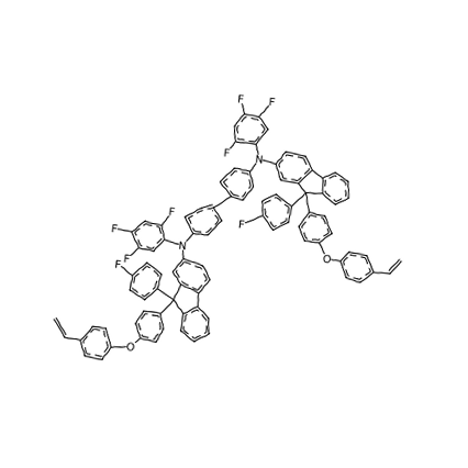 C=Cc1ccc(Oc2ccc(C3(c4ccc(F)cc4)c4ccccc4-c4ccc(N(c5ccc(-c6ccc(N(c7ccc8c(c7)C(c7ccc(F)cc7)(c7ccc(Oc9ccc(C=C)cc9)cc7)c7ccccc7-8)c7cc(F)c(F)cc7F)cc6)cc5)c5cc(F)c(F)cc5F)cc43)cc2)cc1